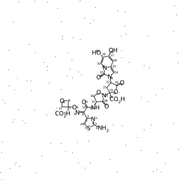 Nc1nc(/C(=N/OC2(C(=O)O)COC2)C(=O)N[C@H]2CON(C3(C(=O)O)CC(n4cc5cc(O)c(O)cn5c4=O)C(=O)O3)C2=O)cs1